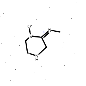 C/N=C1\CNCC[S+]1[O-]